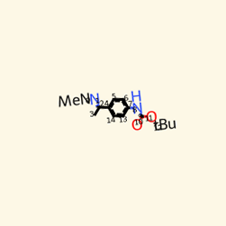 CN/N=C(\C)c1ccc(NC(=O)OC(C)(C)C)cc1